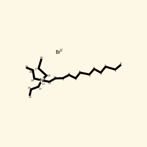 CCCCCCCCCCCC[N+](CCC)(CCC)CCC.[Br-]